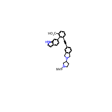 CSN1CCC(N2Cc3ccc(C#Cc4cccc(C(=O)O)c4-c4ccc5cc[nH]c5c4)cc3C2)C1